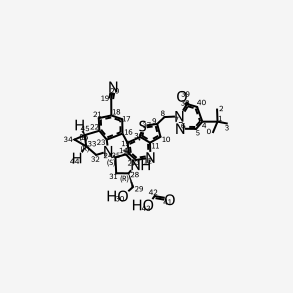 CC(C)(C)c1cnn(Cc2cc3nccc(-c4cc(C#N)cc5c4N([C@@H]4CN[C@@H](CO)C4)C[C@@H]4C[C@H]54)c3s2)c(=O)c1.O=CO